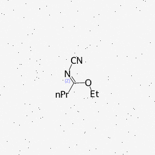 CCC/C(=N/C#N)OCC